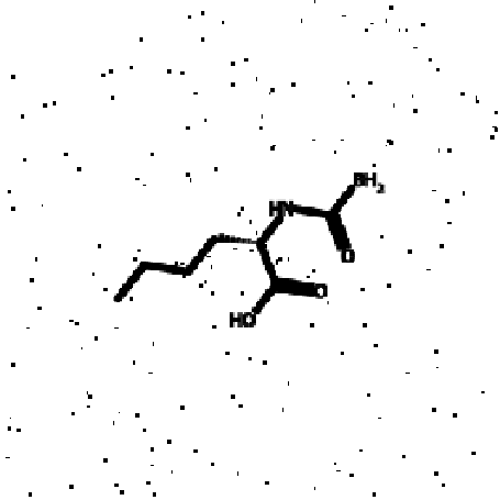 BC(=O)N[C@@H](CCCC)C(=O)O